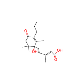 CCCC1=C(C)[C@](O)(C=CC(C)=CC(=O)O)C(C)(C)CC1=O